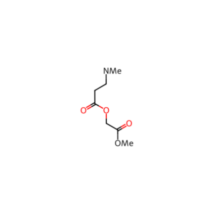 CNCCC(=O)OCC(=O)OC